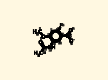 COc1cc(F)c([N+](=O)[O-])cc1NC(C)=O